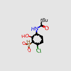 CC(C)(C)C(=O)Nc1ccc(Cl)c([SH](=O)=O)c1O